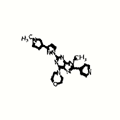 CN1CCC(c2ccn(-c3nc(N4CCOCC4)c4nc(-c5ccncc5)n(C)c4n3)n2)C1